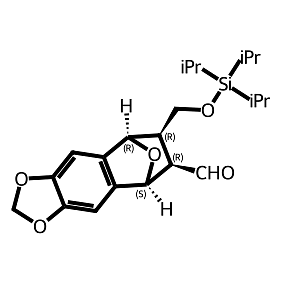 CC(C)[Si](OC[C@H]1[C@@H](C=O)[C@@H]2O[C@H]1c1cc3c(cc12)OCO3)(C(C)C)C(C)C